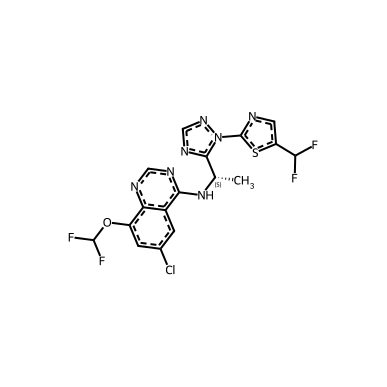 C[C@H](Nc1ncnc2c(OC(F)F)cc(Cl)cc12)c1ncnn1-c1ncc(C(F)F)s1